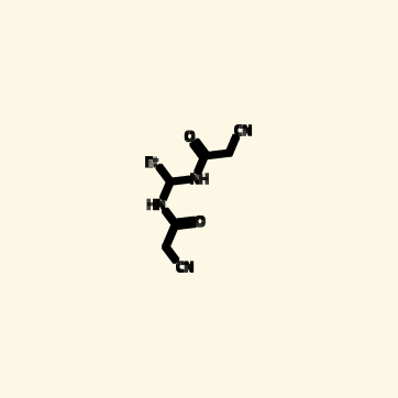 CCC(NC(=O)CC#N)NC(=O)CC#N